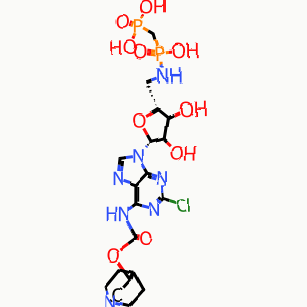 O=C(Nc1nc(Cl)nc2c1ncn2[C@@H]1O[C@H](CNP(=O)(O)CP(=O)(O)O)C(O)C1O)OC1CN2CCC1CC2